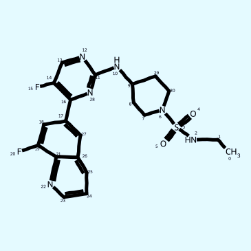 CCNS(=O)(=O)N1CCC(Nc2ncc(F)c(-c3cc(F)c4ncccc4c3)n2)CC1